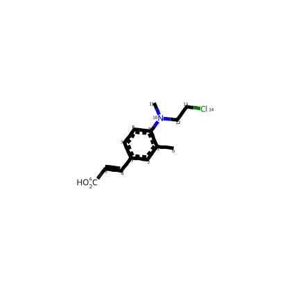 Cc1cc(C=CC(=O)O)ccc1N(C)CCCl